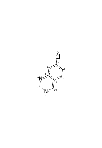 Clc1ccc2c(c1)=NC[N]C=2